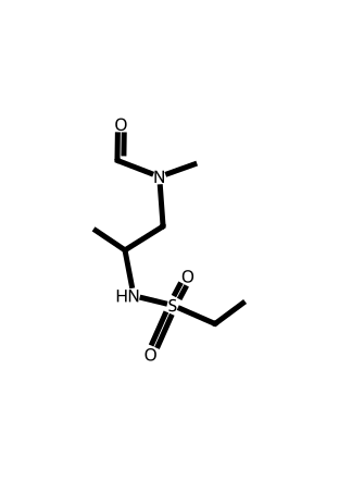 CCS(=O)(=O)NC(C)CN(C)C=O